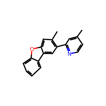 Cc1ccnc(-c2cc3c(cc2C)oc2ccccc23)c1